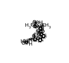 COc1nc(-c2cccc(-c3cccc4c3CC[C@@H]4Oc3nc(OC)c(CN4CC[C@H](C)[C@H]4C(=O)O)cc3C(F)(F)F)c2Cl)ccc1CNC[C@@H]1CCC(=O)N1